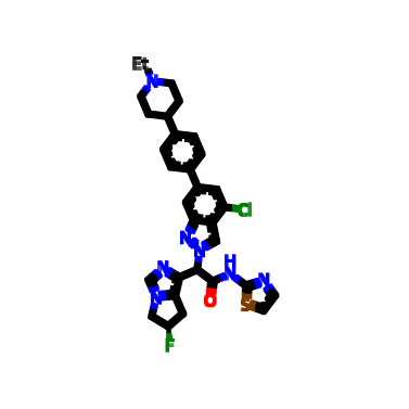 CCN1CCC(c2ccc(-c3cc(Cl)c4cn(C(C(=O)Nc5nccs5)c5ncn6c5C[C@@H](F)C6)nc4c3)cc2)CC1